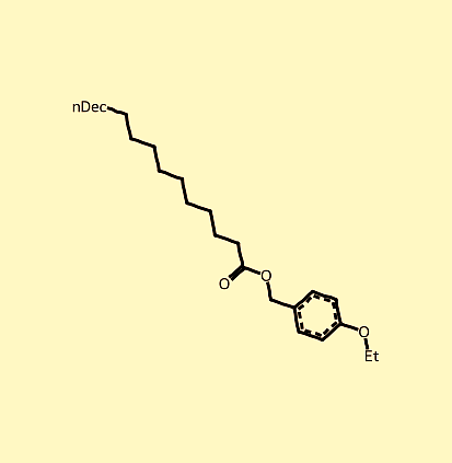 CCCCCCCCCCCCCCCCCCCC(=O)OCc1ccc(OCC)cc1